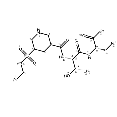 CC(C)CNS(=O)(=O)C1CNCC(C(=O)N[C@H](C(=O)N[C@@H](CN)C(=O)C(C)C)[C@H](C)O)C1